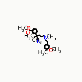 COC(=O)c1cccc(C(C#N)(CCCN(C)CCc2ccc(C)c(OC)c2)C(C)C)c1